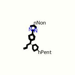 C=CCC(c1ccc(-c2ncc(CCCCCCCCC)cn2)cc1)[C@H]1CC[C@H](CCCCC)CC1